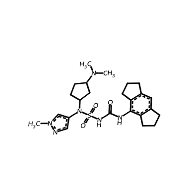 CN(C)C1CCC(N(c2cnn(C)c2)S(=O)(=O)NC(=O)Nc2c3c(cc4c2CCC4)CCC3)C1